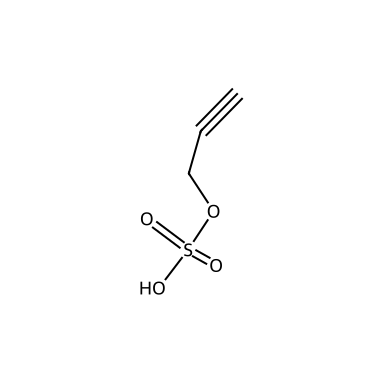 C#CCOS(=O)(=O)O